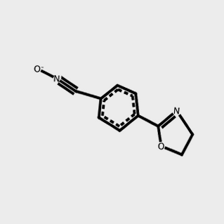 [O-][N+]#Cc1ccc(C2=NCCO2)cc1